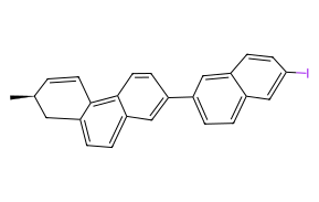 C[C@H]1C=Cc2c(ccc3cc(-c4ccc5cc(I)ccc5c4)ccc23)C1